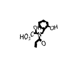 C=CC(=O)N(Cc1ccccc1O)C(O)C(=O)O